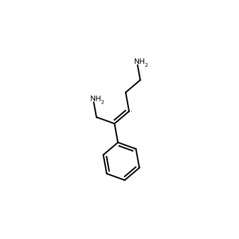 NCC[C]=C(CN)c1ccccc1